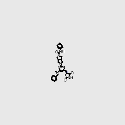 CN(Cc1ccccc1)c1cc(/C=C2\SC(=O)NC2=O)nc(N2CC3CN(C(=O)Nc4ccccc4)CC3C2)n1